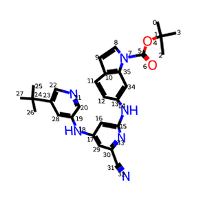 CC(C)(C)OC(=O)n1ccc2ccc(Nc3cc(Nc4cncc(C(C)(C)C)c4)cc(C#N)n3)cc21